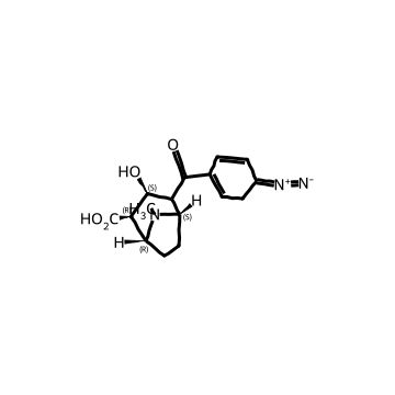 CN1[C@@H]2CC[C@H]1C(C(=O)C1=CCC(=[N+]=[N-])C=C1)[C@H](O)[C@@H]2C(=O)O